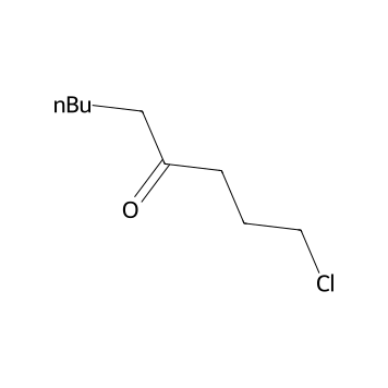 CCCCCC(=O)CCCCl